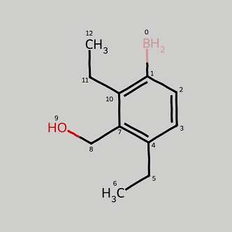 Bc1ccc(CC)c(CO)c1CC